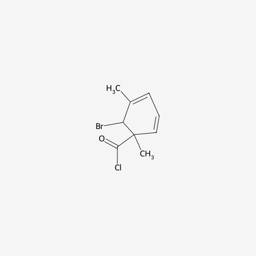 CC1=CC=CC(C)(C(=O)Cl)C1Br